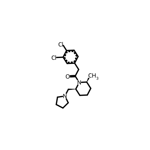 C[C@H]1CCC[C@@H](CN2CCCC2)N1C(=O)Cc1ccc(Cl)c(Cl)c1